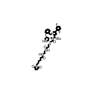 CC(C)(C)[C@H](c1cc(-c2cc(F)ccc2F)cn1Cc1ccccc1)N(C[C@@H]1CNC[C@@H]1F)C(=O)CSCCC(=O)NCCNC(=O)CCCCCN1C(=O)C=CC1=O